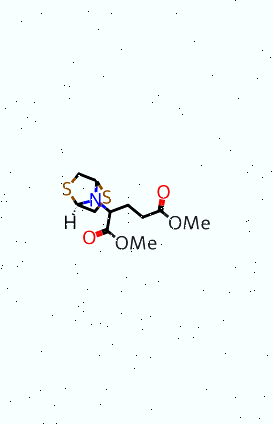 COC(=O)CCC(C(=O)OC)N1C2CS[C@@H]1CS2